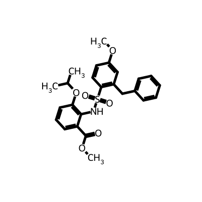 COC(=O)c1cccc(OC(C)C)c1NS(=O)(=O)c1ccc(OC)cc1Cc1ccccc1